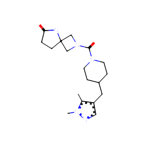 Cn1ncc(CC2CCN(C(=O)N3CC4(CCC(=O)N4)C3)CC2)c1C(F)(F)F